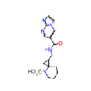 O=C(NCC1CC12CCCCN2C(=O)O)c1cnc2nccn2c1